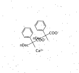 CCCCCCCCCCC(C)(C(=O)[O-])c1ccccc1.CCCCCCCCCCC(C)(C(=O)[O-])c1ccccc1.[Ca+2]